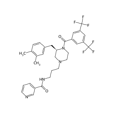 Cc1ccc(C[C@@H]2CN(CCCNC(=O)c3cccnc3)CCN2C(=O)c2cc(C(F)(F)F)cc(C(F)(F)F)c2)cc1C